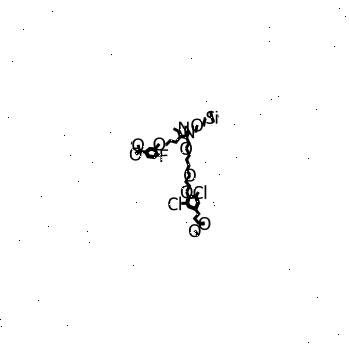 COC(=O)CCc1cc(Cl)c(OCCOCCCCOCc2c(CCCOc3cc(C(=O)OC)ccc3F)c(C)nn2COCC[Si](C)(C)C)c(Cl)c1